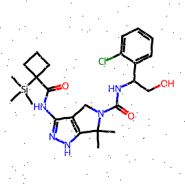 CC1(C)c2[nH]nc(NC(=O)C3([Si](C)(C)C)CCC3)c2CN1C(=O)NC(CO)c1ccccc1Cl